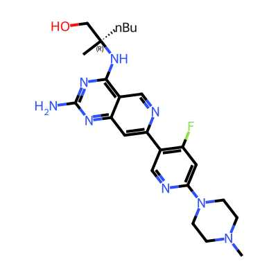 CCCC[C@](C)(CO)Nc1nc(N)nc2cc(-c3cnc(N4CCN(C)CC4)cc3F)ncc12